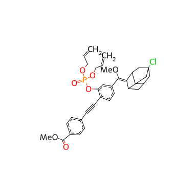 C=CCOP(=O)(OCC=C)Oc1cc(C(OC)=C2C3CC4CC2CC(Cl)(C4)C3)ccc1C#Cc1ccc(C(=O)OC)cc1